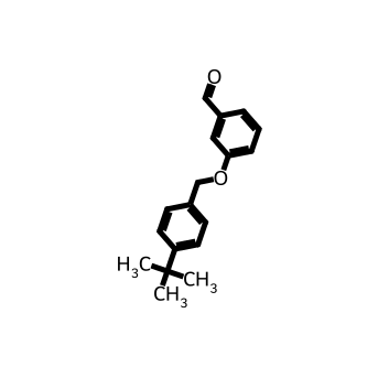 CC(C)(C)c1ccc(COc2cccc(C=O)c2)cc1